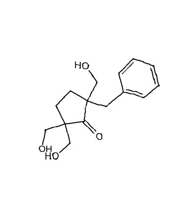 O=C1C(CO)(CO)CCC1(CO)Cc1ccccc1